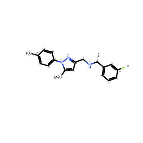 COc1cc(CN[C@H](C)c2cccc(F)c2)nn1-c1ccc(C(F)(F)F)cc1